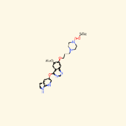 COc1cc2c(Oc3cnc4[nH]ccc4c3)ncnc2cc1OCCCN1CCN(OOSC)CC1